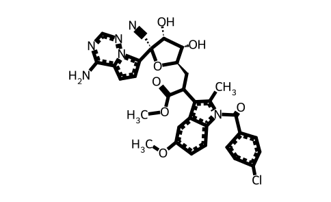 COC(=O)C(C[C@H]1O[C@@](C#N)(c2ccc3c(N)ncnn23)[C@H](O)[C@@H]1O)c1c(C)n(C(=O)c2ccc(Cl)cc2)c2ccc(OC)cc12